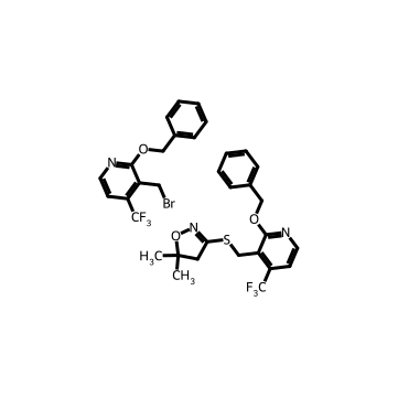 CC1(C)CC(SCc2c(C(F)(F)F)ccnc2OCc2ccccc2)=NO1.FC(F)(F)c1ccnc(OCc2ccccc2)c1CBr